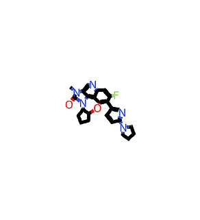 Cn1c(=O)n2c3c4c(c(-c5ccc(N6CCCC6)nc5)c(F)cc4ncc31)OC1CCCC12